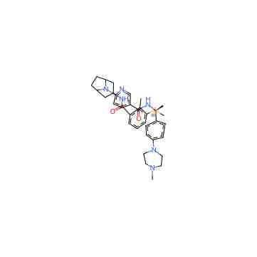 CSc1cccc(C(=O)NC2CC3CCC(C2)N3c2ccc(C(=O)N[C@@H](C)c3ccc(N4CCN(C)CC4)cc3)cn2)c1C